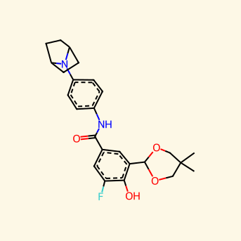 CC1(C)COC(c2cc(C(=O)Nc3ccc(N4C5CCC4CC5)cc3)cc(F)c2O)OC1